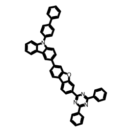 c1ccc(-c2ccc(-n3c4ccccc4c4cc(-c5ccc6c(c5)oc5cc(-c7nc(-c8ccccc8)nc(-c8ccccc8)n7)ccc56)ccc43)cc2)cc1